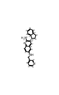 Nc1nc2ccc(NCc3cccnc3)cc2cc1[C@@H]1CCc2ccccc21